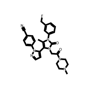 Cc1c(-c2ccnn2-c2ccc(C#N)cc2)n(CC(=O)N2CCN(C)CC2)c(=O)n1-c1cccc(CF)c1